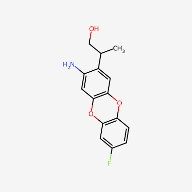 CC(CO)c1cc2c(cc1N)Oc1cc(F)ccc1O2